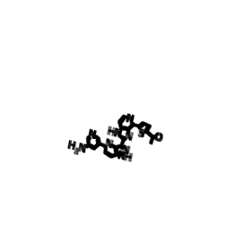 CC(=O)c1ccc(-c2nccc3[nH]c(-c4n[nH]c5ccc(-c6cncc(N)c6)nc45)nc23)s1